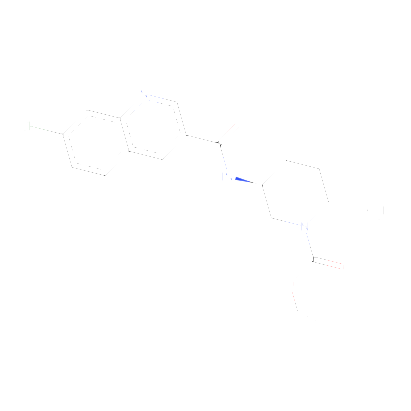 CC(C)(C)OC(=O)N1C[C@@H](NC(=O)c2cnc3cc(Cl)ccc3c2)CC[C@@H]1C(=O)O